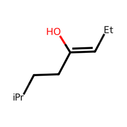 CCC=C(O)CCC(C)C